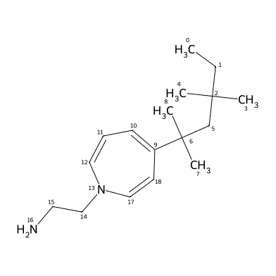 CCC(C)(C)CC(C)(C)C1=CC=CN(CCN)C=C1